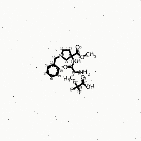 COC(=O)C1(NC(=O)[C@@H](C)N)CCN(Cc2ccccc2)C1.O=C(O)C(F)(F)F